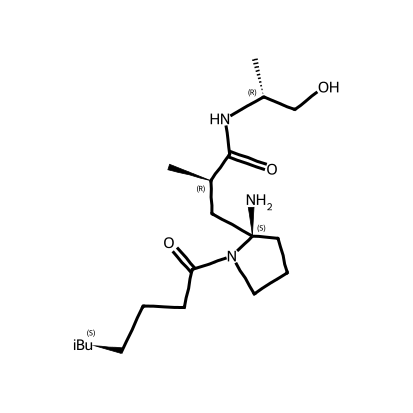 CC[C@H](C)CCCC(=O)N1CCC[C@@]1(N)C[C@@H](C)C(=O)N[C@H](C)CO